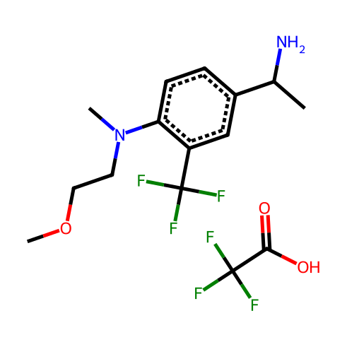 COCCN(C)c1ccc(C(C)N)cc1C(F)(F)F.O=C(O)C(F)(F)F